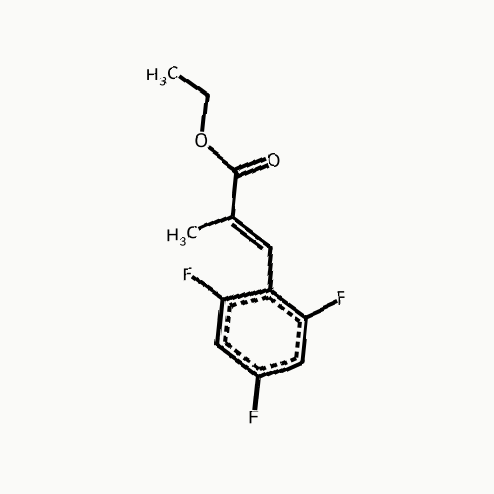 CCOC(=O)C(C)=Cc1c(F)cc(F)cc1F